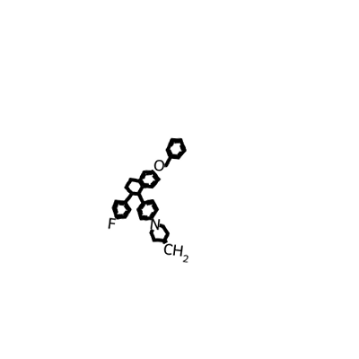 C=C1CCN(c2ccc(C3c4ccc(OCc5ccccc5)cc4CCC3c3ccc(F)cc3)cc2)CC1